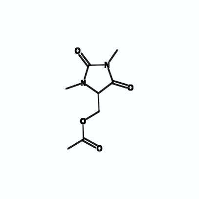 CC(=O)OCC1C(=O)N(C)C(=O)N1C